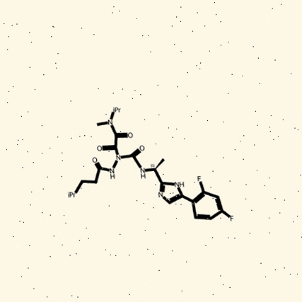 CC(C)CCC(=O)NN(C(=O)N[C@@H](C)c1ncc(-c2ccc(F)cc2F)[nH]1)C(=O)C(=O)N(C)C(C)C